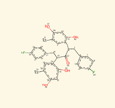 CCc1cc(C(Cc2ccc(F)cc2)C(=O)C(Cc2ccc(F)cc2)c2cc(CC)c(O)cc2O)c(O)cc1O